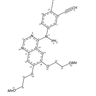 C#Cc1cc(N(P)c2ncnc3cc(OCCOC)c(OCCOC)cc23)ccc1I